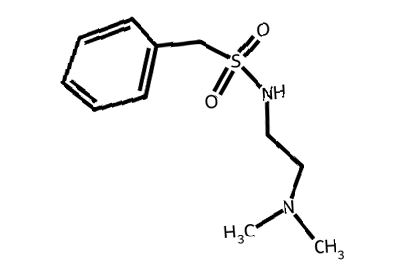 CN(C)CCNS(=O)(=O)Cc1ccccc1